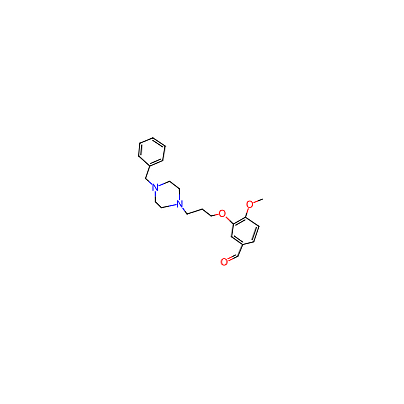 COc1ccc(C=O)cc1OCCCN1CCN(Cc2ccccc2)CC1